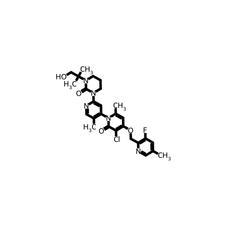 Cc1cnc(COc2cc(C)n(-c3cc(N4CCCN(C(C)(C)CO)C4=O)ncc3C)c(=O)c2Cl)c(F)c1